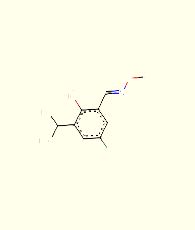 CON=Cc1cc(F)cc(C(C)C)c1O